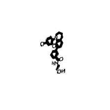 O=C(NCCO)c1cccc(-c2ccc3c(c2)N(c2ccc(Cl)cc2Cl)CCCC3)c1